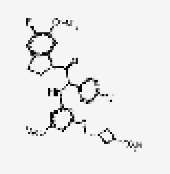 COc1cc(NC(C(=O)N2CCc3cc(F)c(OC(F)(F)F)cc32)c2ccc(Cl)cc2)cc(OC[C@H]2C[C@@H](C(=O)O)C2)c1